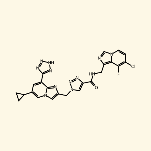 O=C(NCc1ncn2ccc(Cl)c(F)c12)c1cn(Cc2cn3cc(C4CC4)cc(-c4nn[nH]n4)c3n2)nn1